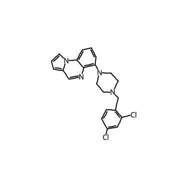 Clc1ccc(CN2CCN(c3cccc4c3ncc3cccn34)CC2)c(Cl)c1